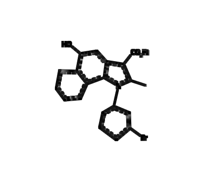 CCOC(=O)c1c(C)n(-c2cccc(Br)c2)c2c1cc(O)c1ccccc12